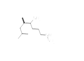 C=C(CC(C)C)C(N)CCCNN